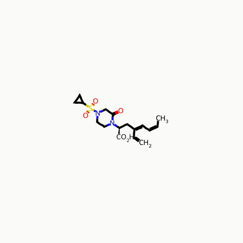 C=C/C(=C\C=C/C)C[C@@H](C(=O)O)N1CCN(S(=O)(=O)C2CC2)CC1=O